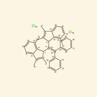 CC1=C(C)[CH]([Zr+2]([CH]2C(C)=C(C)c3cccc(C)c32)=[Si](c2ccccc2)c2ccccc2)c2c(C)cccc21.[Cl-].[Cl-]